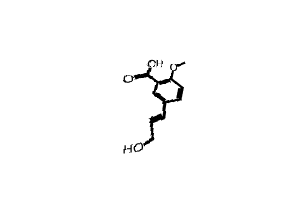 COc1ccc(/C=C/CO)cc1C(=O)O